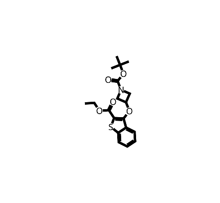 CCOC(=O)c1sc2ccccc2c1OC1CN(C(=O)OC(C)(C)C)C1